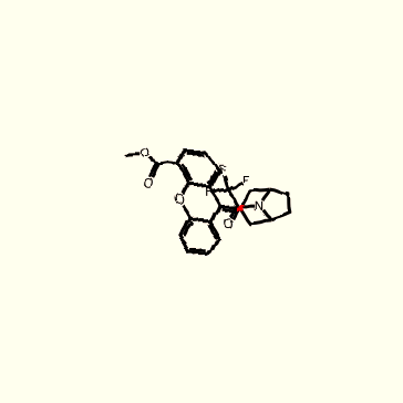 COC(=O)c1cccc2c1Oc1ccccc1C2=C1CC2CCC(C1)N2C(=O)C(F)(F)F